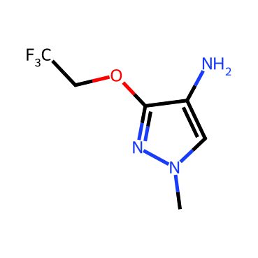 Cn1cc(N)c(OCC(F)(F)F)n1